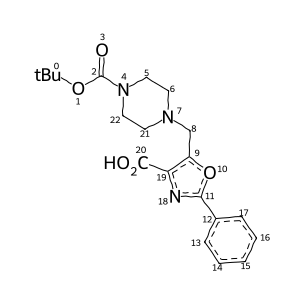 CC(C)(C)OC(=O)N1CCN(Cc2oc(-c3ccccc3)nc2C(=O)O)CC1